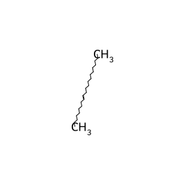 CCCCCCCCC=CCCCCCCCCCCCC